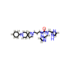 O=C(CCCCN1CCC2(CCN(C3CCCCC3)CC2)C1)N(Cc1ncc[nH]1)Cc1ncc[nH]1